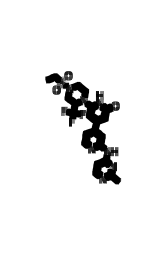 CCS(=O)(=O)N1CCN(c2cc(-c3ccnc(Nc4ccnc(C)n4)c3)cc(=O)[nH]2)C(C(F)(F)F)C1